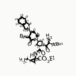 C=C[C@@H]1C[C@]1(NC(=O)[C@@H]1C[C@@H](n2ncc(N3Cc4ccccc4C3)c(Br)c2=O)CN1C(=O)[C@@H](N)C(C)(C)C)C(=O)OCC